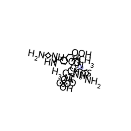 CC1(C)[C@H](NC(=O)/C(=N\O[C@](C)(C(=O)O)[C@H]2CCc3cc(C(=N)N[C@H]4C[C@H](N)C4)ccc3O2)c2csc(N)n2)C(=O)N1OS(=O)(=O)O